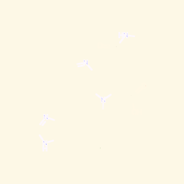 Cc1nc2c(-c3ccc[nH]c3=O)c(C(=O)O)n(Cc3cc4nc[nH]c4cc3Cl)c2cc1F